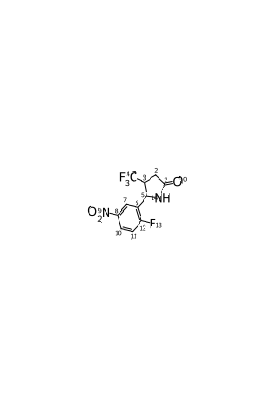 O=C1CC(C(F)(F)F)C(c2cc([N+](=O)[O-])ccc2F)N1